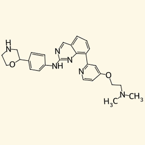 CN(C)CCOc1ccnc(-c2cccc3cnc(Nc4ccc(C5CNCCO5)cc4)nc23)c1